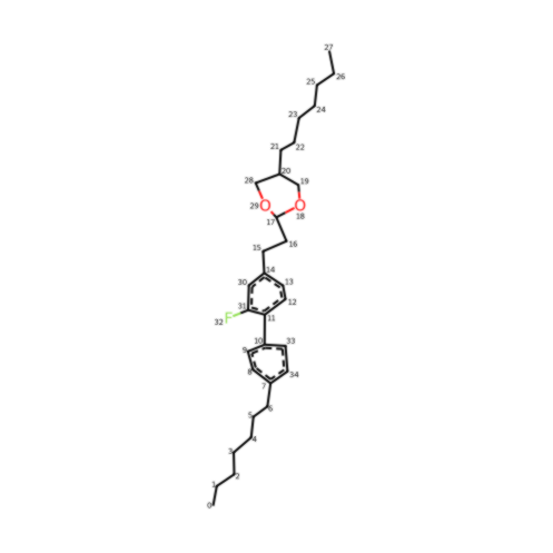 CCCCCCCc1ccc(-c2ccc(CCC3OCC(CCCCCCC)CO3)cc2F)cc1